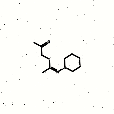 CC(=O)CCC(C)=NN1CCCCC1